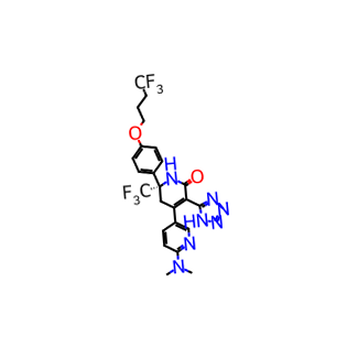 CN(C)c1ccc(C2=C(c3nnn[nH]3)C(=O)N[C@@](c3ccc(OCCCC(F)(F)F)cc3)(C(F)(F)F)C2)cn1